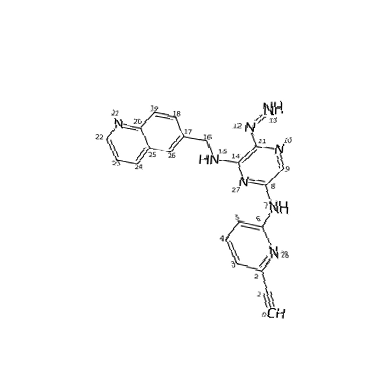 C#Cc1cccc(Nc2cnc(N=N)c(NCc3ccc4ncccc4c3)n2)n1